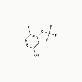 Oc1ccc(F)c(OC(F)(F)F)c1